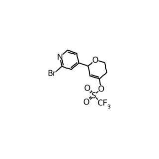 O=S(=O)(OC1=CC(c2ccnc(Br)c2)OCC1)C(F)(F)F